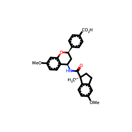 COc1ccc2c(c1)CC[C@]2(C)C(=O)N[C@@H]1C[C@H](c2ccc(C(=O)O)cc2)Oc2cc(OC)ccc21